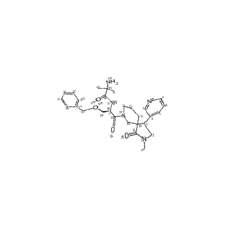 CN1CC(c2cccnc2)C2(CCCN(C(=O)[C@@H](COCc3ccccc3)NC(=O)C(C)(C)N)C2)C1=O